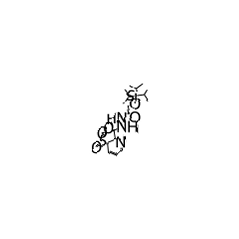 CC(C)[Si](OCC(=O)NNC(=O)C1N=CC=CC1=S(=O)=O)(C(C)C)C(C)C